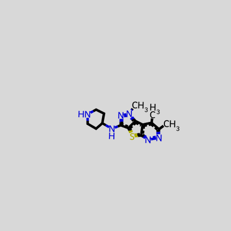 Cc1nnc2sc3c(NC4CCNCC4)nn(C)c3c2c1C